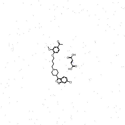 COc1cc(C(C)=O)ccc1OCCCCN1CCC(c2onc3cc(Cl)ccc23)CC1.O=C(O)/C=C/C(=O)O